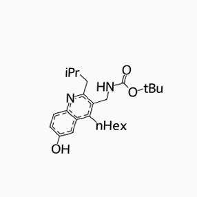 CCCCCCc1c(CNC(=O)OC(C)(C)C)c(CC(C)C)nc2ccc(O)cc12